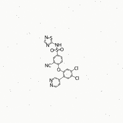 N#Cc1cc(S(=O)(=O)Nc2ncns2)ccc1Oc1cc(Cl)c(Cl)cc1-c1ccnnc1